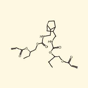 C=CC(=O)OCC(CC)OC(=O)NCC1CC2CCC1C2CNC(=O)OCC(CC)OC(=O)C=C